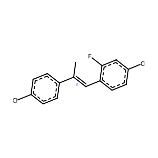 C/C(=C\c1ccc(Cl)cc1F)c1ccc(Cl)cc1